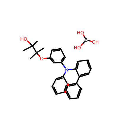 CC(C)(O)C(C)(C)Oc1cccc(N(c2ccccc2)c2ccccc2-c2ccccc2)c1.OB(O)O